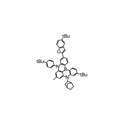 Cc1cc2c3c(c1)N(C1CC4CCC1C4)c1cc(C(C)(C)C)ccc1B3c1ccc(-c3cc4cc(C(C)(C)C)ccc4o3)cc1N2c1ccc(C(C)(C)C)cc1